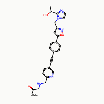 COC(=O)CNCc1ccc(C#Cc2ccc(-c3cc(Cn4ccnc4C(C)O)no3)cc2)cn1